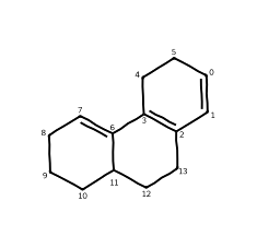 C1=CC2=C(CC1)C1=CCCCC1CC2